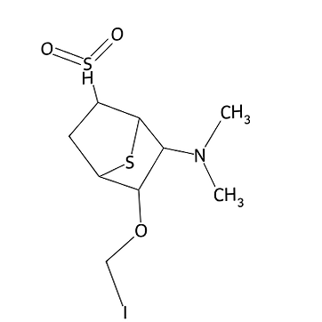 CN(C)C1C(OCI)C2CC([SH](=O)=O)C1S2